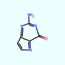 NC1=NC(=O)C2=NC=CC2=N1